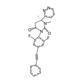 CN1C(=O)N(c2c(F)cc(C#Cc3ccccc3)cc2F)C(=O)C[C@@]1(C)c1cccnn1